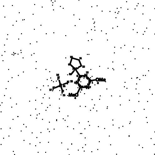 COc1nc(OC)nc([N+]2(C)CCCC2)n1.F[B-](F)(F)F